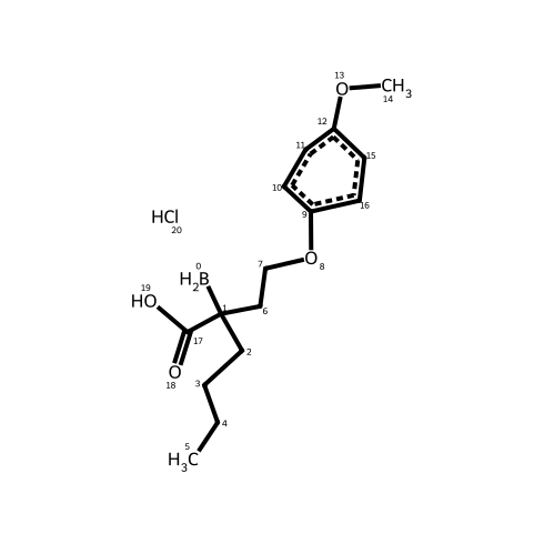 BC(CCCC)(CCOc1ccc(OC)cc1)C(=O)O.Cl